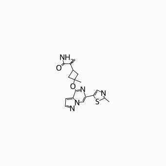 C=C(C(N)=O)C1CC(C)(Oc2nc(-c3cnc(C)s3)cn3nccc23)C1